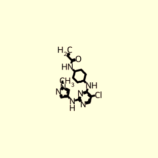 C=CC(=O)NC1CCC(Nc2nc(Nc3cnn(C)c3)ncc2Cl)CC1